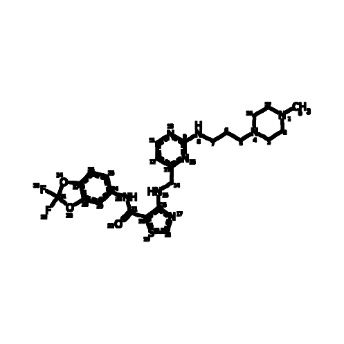 CN1CCN(CCCNc2nccc(CNc3ncsc3C(=O)Nc3ccc4c(c3)OC(F)(F)O4)n2)CC1